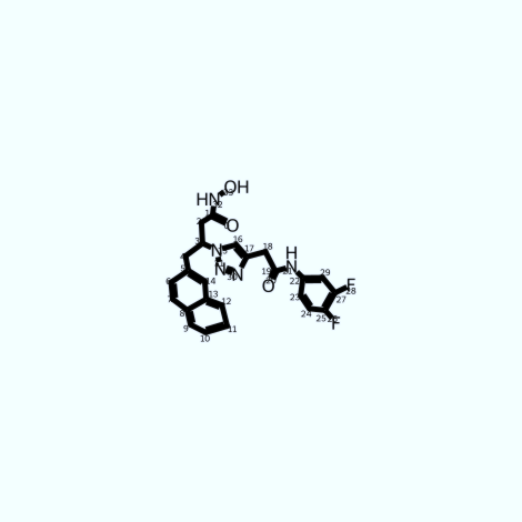 O=C(CC(Cc1ccc2ccccc2c1)n1cc(CC(=O)Nc2ccc(F)c(F)c2)nn1)NO